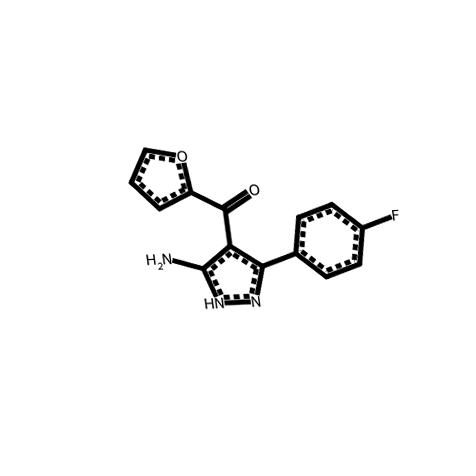 Nc1[nH]nc(-c2ccc(F)cc2)c1C(=O)c1ccco1